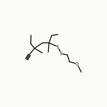 C#CC(C)(CC)CC(C)(CC)SSCCOC